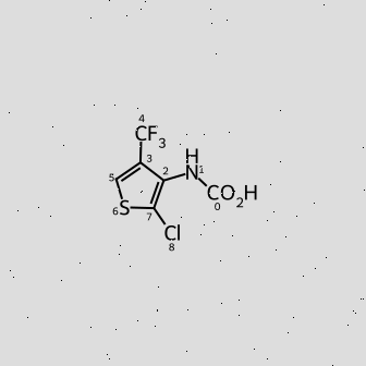 O=C(O)Nc1c(C(F)(F)F)csc1Cl